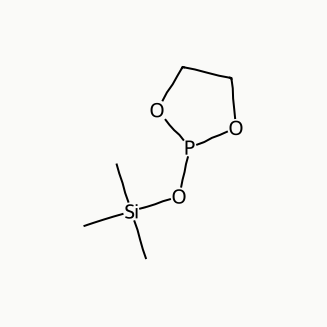 C[Si](C)(C)OP1OCCO1